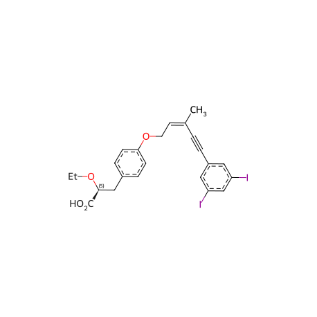 CCO[C@@H](Cc1ccc(OCC=C(C)C#Cc2cc(I)cc(I)c2)cc1)C(=O)O